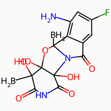 BC12OC3(O)C(B)(O)C(=O)NC(=O)C3(O)N1C(=O)c1cc(F)cc(N)c12